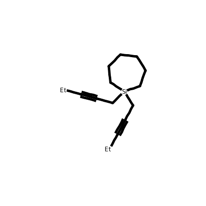 CCC#CC[Si]1(CC#CCC)CCCCCC1